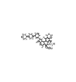 Cc1nc2c(cc(-c3cncc(N4CCN(C5CCOCC5)CC4)c3)n2C)c(-c2cc(F)c3c(c2C)CCCO3)c1[C@H](OC(C)(C)C)C(=O)O